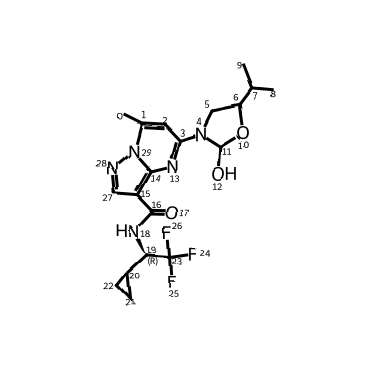 Cc1cc(N2CC(C(C)C)OC2O)nc2c(C(=O)N[C@H](C3CC3)C(F)(F)F)cnn12